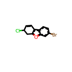 ClC1C=Cc2c(oc3cc(Br)ccc23)C1